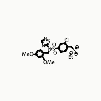 CCOS(=O)(=O)Cc1ccc(S(=O)(=O)N(Cc2ccc(OC)cc2OC)c2ncns2)cc1Cl